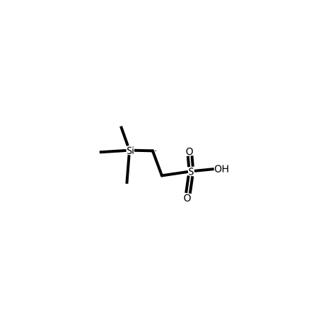 C[Si](C)(C)[CH]CS(=O)(=O)O